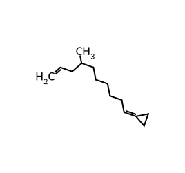 C=CCC(C)CCCCCC=C1CC1